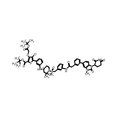 Cn1c(=O)n(C2CCC(=O)NC2=O)c2ccc(-c3cccc(CC(=O)Nc4cccc(CS(=O)(=O)N5CC[C@H](Nc6cccc(-c7sc(C(=O)OC(C)(C)C)c(OCC(=O)OC(C)(C)C)c7Cl)c6)CC5(C)C)c4)c3)cc21